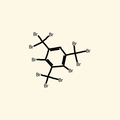 Brc1c(C(Br)(Br)Br)[c]c(C(Br)(Br)Br)c(Br)c1C(Br)(Br)Br